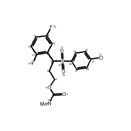 CNC(=O)OCCC(c1cc(F)ccc1F)S(=O)(=O)c1ccc(Cl)cc1